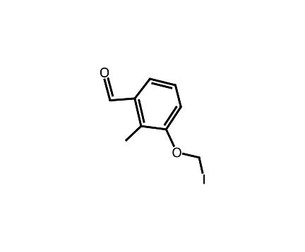 Cc1c(C=O)cccc1OCI